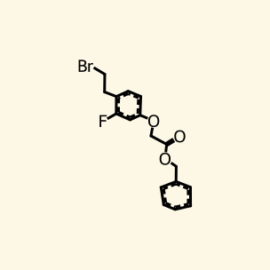 O=C(COc1ccc(CCBr)c(F)c1)OCc1ccccc1